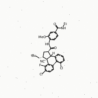 CCNC(=O)c1ccc(NC(=O)[C@@H]2C[C@@H](CC(C)(C)C)[C@]3(C#N)c4c(ccc(Cl)c4F)-c4c(Cl)cccc4[C@@H]23)c(OC)c1